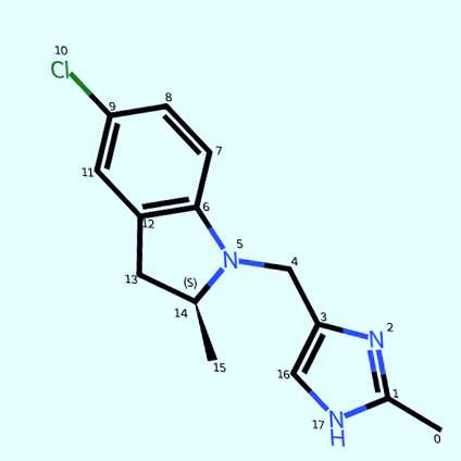 Cc1nc(CN2c3ccc(Cl)cc3C[C@@H]2C)c[nH]1